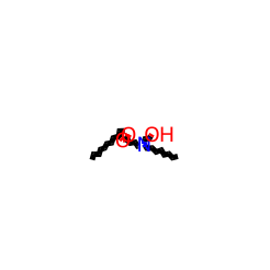 CCCCCCCCC(CC)OC(=O)CCCN(CCO)CCCCCCCC